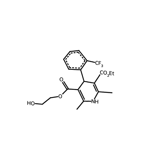 CCOC(=O)C1=C(C)NC(C)=C(C(=O)OCCO)C1c1ccccc1C(F)(F)F